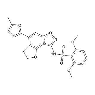 COc1cccc(OC)c1S(=O)(=O)Nc1noc2cc(-c3ccc(C)o3)c3c(c12)OCC3